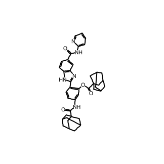 O=C(Nc1ccccn1)c1ccc2[nH]c(-c3ccc(NC(=O)C45CC6CC(CC(C6)C4)C5)cc3OC(=O)C34CC5CC(CC(C5)C3)C4)nc2c1